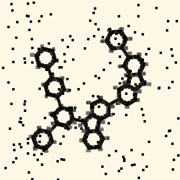 c1ccc(-c2ccc(-c3nc(-c4ccccc4)nc(-n4c5ccccc5c5cc(-c6ccc7oc8ccc(-c9ccccc9)cc8c7c6)ccc54)n3)cc2)cc1